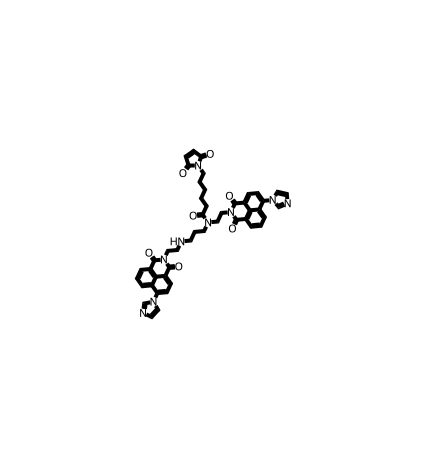 O=C(CCCCCN1C(=O)C=CC1=O)N(CCCNCCN1C(=O)c2cccc3c(-n4ccnc4)ccc(c23)C1=O)CCN1C(=O)c2cccc3c(-n4ccnc4)ccc(c23)C1=O